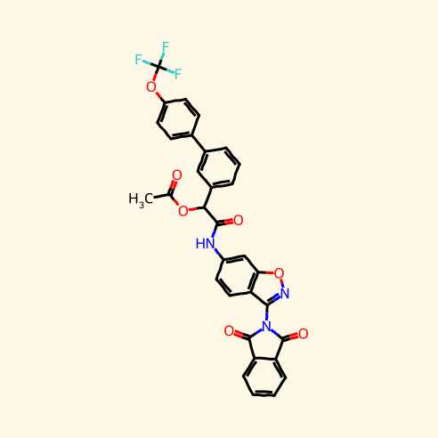 CC(=O)OC(C(=O)Nc1ccc2c(N3C(=O)c4ccccc4C3=O)noc2c1)c1cccc(-c2ccc(OC(F)(F)F)cc2)c1